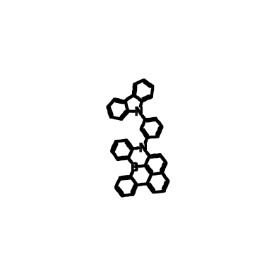 c1cc(N2c3ccccc3B3c4ccccc4-c4cccc5ccc2c3c45)cc(-n2c3ccccc3c3ccccc32)c1